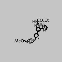 CCOC(=O)Nc1nc2cc(-c3ccc(CN4CCN(CCOC)CC4)nc3)cc(-c3ncccn3)c2[nH]1